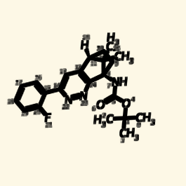 CC(C)(C)OC(=O)N[C@@]12CC[C@@H](c3cc(-c4ccccc4F)nnc31)C2(C)C